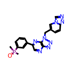 CP(C)(=O)c1cccc(-c2cnc3nnn(Cc4ccc5nncn5c4)c3n2)c1